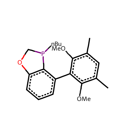 CCCCP1COc2cccc(-c3c(OC)c(C)cc(C)c3OC)c21